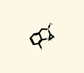 CC(=O)N(Cc1cccc(I)c1C)C1CC1